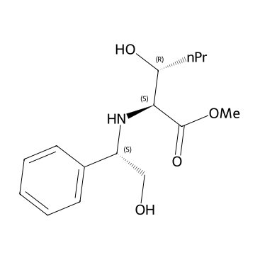 CCC[C@@H](O)[C@H](N[C@H](CO)c1ccccc1)C(=O)OC